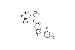 CC(COC(=O)Cc1csc(-c2ccc(Cl)cc2Br)n1)C(C)CB(O)O